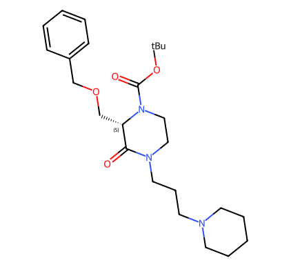 CC(C)(C)OC(=O)N1CCN(CCCN2CCCCC2)C(=O)[C@@H]1COCc1ccccc1